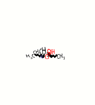 CCCCC=C(O)OC/C=C(\C)CCC=C(C)C